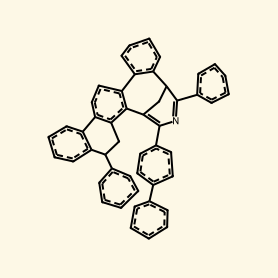 c1ccc(C2=NC(c3ccc(-c4ccccc4)cc3)=C3CC2c2ccccc2-c2ccc4c(c23)CC(c2ccccc2)c2ccccc2-4)cc1